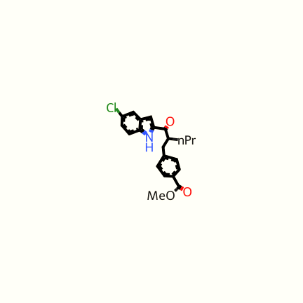 CCCC(Cc1ccc(C(=O)OC)cc1)C(=O)c1cc2cc(Cl)ccc2[nH]1